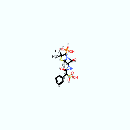 CC1(C)S[C@@H]2C(NC(=O)C(c3ccccc3)S(=O)(=O)O)C(=O)N2C1P(=O)(O)O